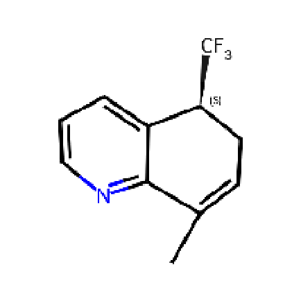 CC1=CC[C@H](C(F)(F)F)c2cccnc21